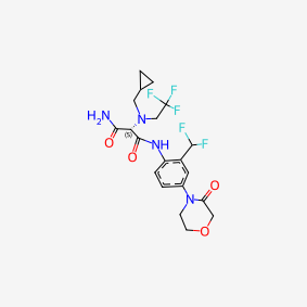 NC(=O)[C@@H](C(=O)Nc1ccc(N2CCOCC2=O)cc1C(F)F)N(CC1CC1)CC(F)(F)F